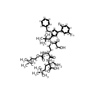 CC(C)(C)[C@H](c1cc(-c2cc(F)ccc2F)cn1Cc1ccccc1)N(CC[C@H](NC(=O)OCC[Si](C)(C)C)C(=O)N[C@@](CN)(CC[Si](C)(C)C)C(=O)O)C(=O)CO